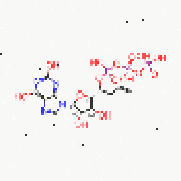 C=CCC(OP(=O)(O)OP(=O)(O)OP(=O)(O)O)[C@H]1O[C@@H](n2cnc3c(O)nc(O)nc32)[C@H](O)[C@@H]1O